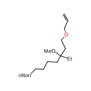 C=CCOCCC(CC)(CCCCCCCCCCCCC)OC